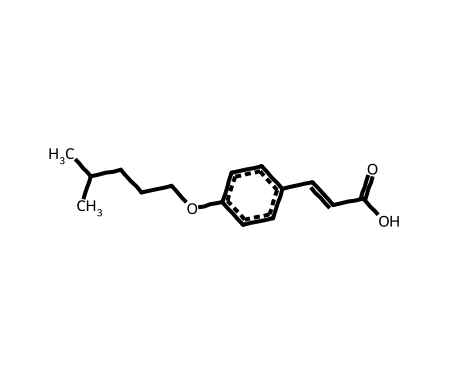 CC(C)CCCOc1ccc(/C=C/C(=O)O)cc1